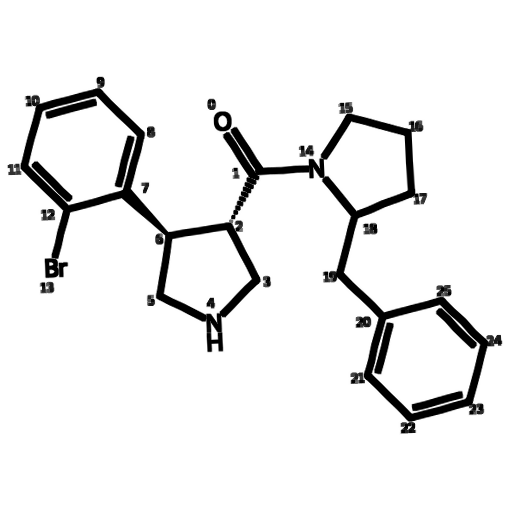 O=C([C@@H]1CNC[C@H]1c1ccccc1Br)N1CCCC1Cc1ccccc1